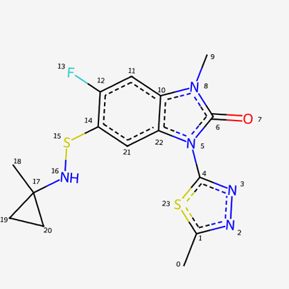 Cc1nnc(-n2c(=O)n(C)c3cc(F)c(SNC4(C)CC4)cc32)s1